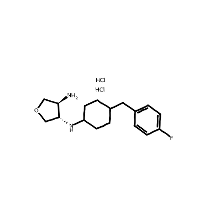 Cl.Cl.N[C@@H]1COC[C@H]1NC1CCC(Cc2ccc(F)cc2)CC1